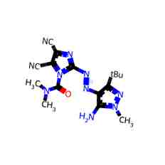 CN(C)C(=O)n1c(/N=N/c2c(C(C)(C)C)nn(C)c2N)nc(C#N)c1C#N